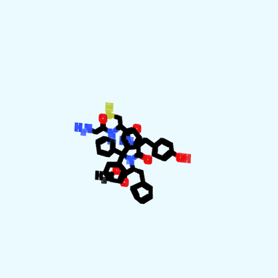 COC(=O)[C@H](Cc1ccccc1)N(C(=O)C(Cc1ccc(O)cc1)NC(=O)C(CS)NC(=O)CN)C(c1ccccc1)(c1ccccc1)c1ccccc1